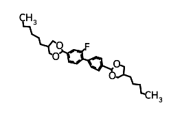 CCCCCCC1COC(c2ccc(-c3ccc(C4OCC(CCCCC)CO4)cc3)c(F)c2)OC1